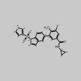 Cc1c(F)cc(C(=O)NC2CC2)cc1-c1ccc2c(cnn2S(=O)(=O)c2ccsc2)c1